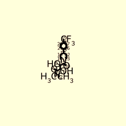 CN(C)C(=O)[C@H](O)[C@@H](O)C(=O)N1CCC(c2ccc(C(F)(F)F)cc2)CC1